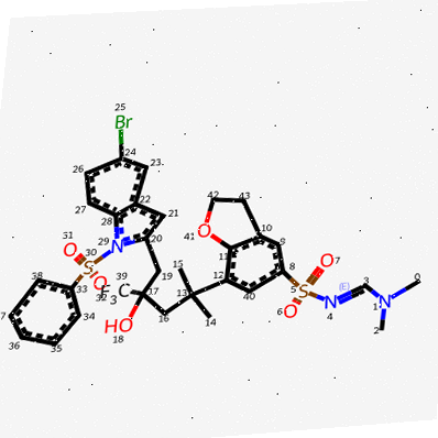 CN(C)/C=N/S(=O)(=O)c1cc2c(c(C(C)(C)CC(O)(Cc3cc4cc(Br)ccc4n3S(=O)(=O)c3ccccc3)C(F)(F)F)c1)OCC2